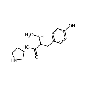 C1CCNC1.CNC(Cc1ccc(O)cc1)C(=O)O